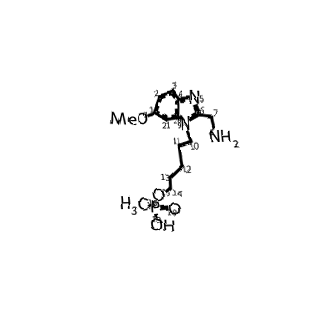 COc1ccc2nc(CN)n(CCCCCOP(C)(=O)O)c2c1